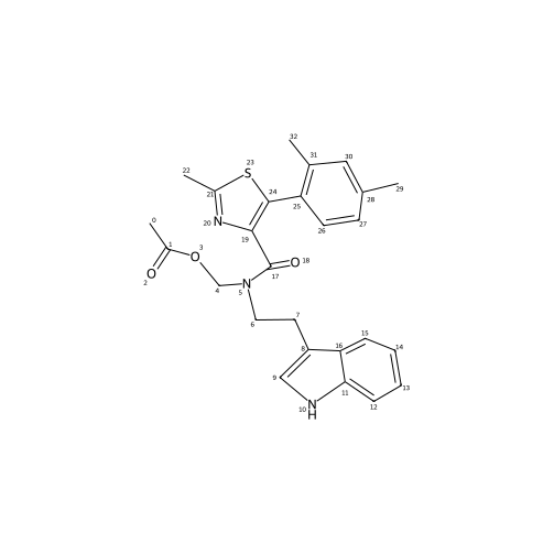 CC(=O)OCN(CCc1c[nH]c2ccccc12)C(=O)c1nc(C)sc1-c1ccc(C)cc1C